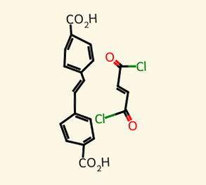 O=C(Cl)C=CC(=O)Cl.O=C(O)c1ccc(C=Cc2ccc(C(=O)O)cc2)cc1